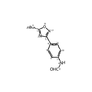 CCCCc1nc(-c2ccc(NC=O)cc2)no1